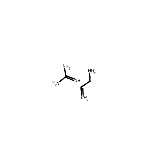 C=CCN.N=C(N)N